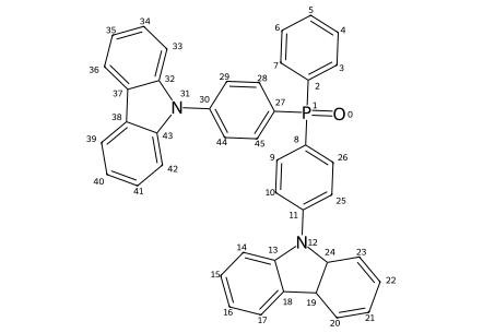 O=P(c1ccccc1)(c1ccc(N2c3ccccc3C3C=CC=CC32)cc1)c1ccc(-n2c3ccccc3c3ccccc32)cc1